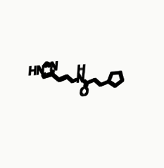 O=C(CCC1CCCC1)NC/C=C/c1c[nH]cn1